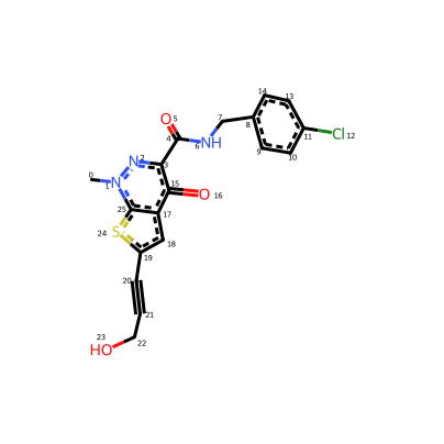 Cn1nc(C(=O)NCc2ccc(Cl)cc2)c(=O)c2cc(C#CCO)sc21